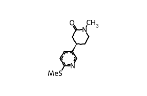 CSc1ccc([C@@H]2CCN(C)C(=O)C2)cn1